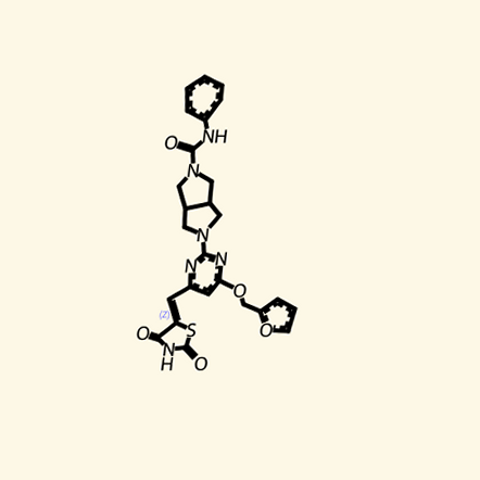 O=C1NC(=O)/C(=C/c2cc(OCc3ccco3)nc(N3CC4CN(C(=O)Nc5ccccc5)CC4C3)n2)S1